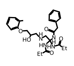 CCC(=O)NC(CNCC(O)COc1ccccc1C)(NC(=O)CC)NC(=O)Cc1ccccc1